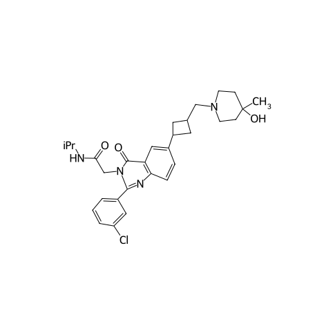 CC(C)NC(=O)Cn1c(-c2cccc(Cl)c2)nc2ccc(C3CC(CN4CCC(C)(O)CC4)C3)cc2c1=O